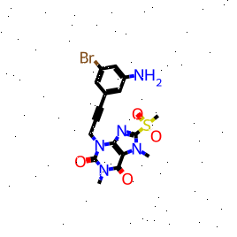 Cn1c(=O)c2c(nc(S(C)(=O)=O)n2C)n(CC#Cc2cc(N)cc(Br)c2)c1=O